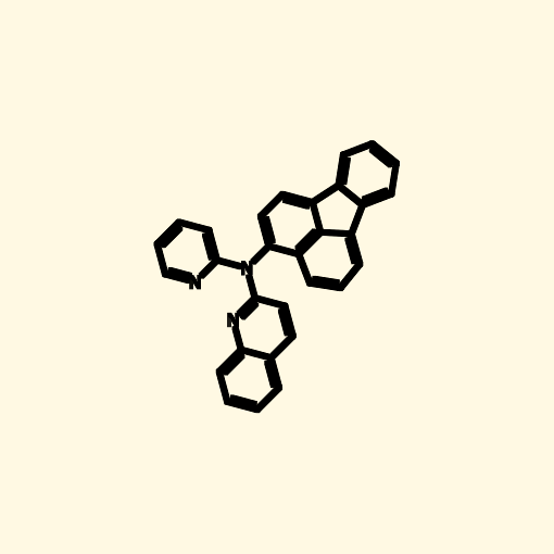 c1ccc(N(c2ccc3ccccc3n2)c2ccc3c4c(cccc24)-c2ccccc2-3)nc1